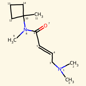 CN(C)C/C=C/C(=O)N(C)C1(C)CCC1